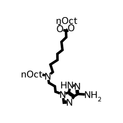 CCCCCCCCOC(=O)CCCCCCCN(CCCCCCCC)CCCn1cnc2c(N)n[nH]c21